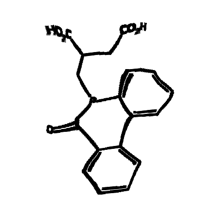 O=C(O)CC(Cp1c(=O)c2ccccc2c2ccccc21)C(=O)O